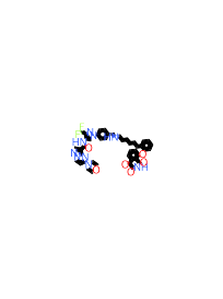 O=C1NC(=O)c2c(Oc3ccccc3CCCCCCNC[C@H]3CC[C@H](n4cc(NC(=O)c5cnn6ccc(N7CCOCC7)nc56)c(C(F)F)n4)CC3)cccc2C1=O